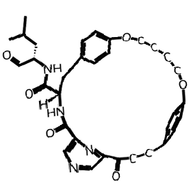 CC(C)C[C@@H](C=O)NC(=O)[C@@H]1Cc2ccc(cc2)OCCCCOc2ccc(cc2)CCC(=O)c2cncc(n2)C(=O)N1